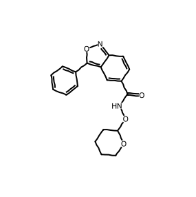 O=C(NOC1CCCCO1)c1ccc2noc(-c3ccccc3)c2c1